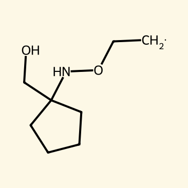 [CH2]CONC1(CO)CCCC1